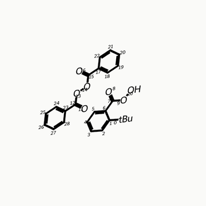 CC(C)(C)c1ccccc1C(=O)OO.O=C(OOC(=O)c1ccccc1)c1ccccc1